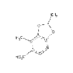 Cc1c(C(=O)O)ccc2c1OC(C)O2